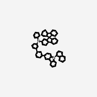 c1ccc(N(c2cccc(-c3cccc(-c4ccc5c(c4)c4ccccc4n5-c4cccc5ccccc45)c3)c2)c2ccc3c(c2)C2(c4ccccc4-c4ccccc42)c2ccccc2-3)cc1